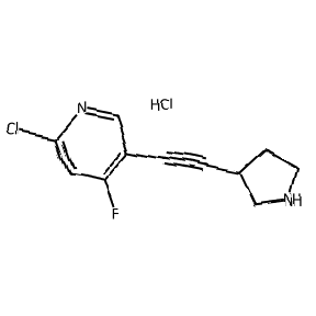 Cl.Fc1cc(Cl)ncc1C#CC1CCNC1